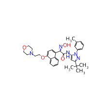 Cc1cccc(-n2nc(C(C)(C)C)cc2NC(=O)/C(=N\O)c2ccc(OCCN3CCOCC3)c3ccccc23)c1